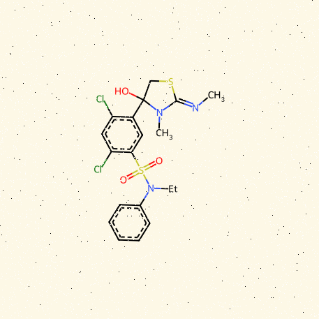 CCN(c1ccccc1)S(=O)(=O)c1cc(C2(O)CSC(=NC)N2C)c(Cl)cc1Cl